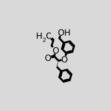 C=CCOC(=O)[C@@H](Cc1ccccc1)Oc1cccc(CO)c1